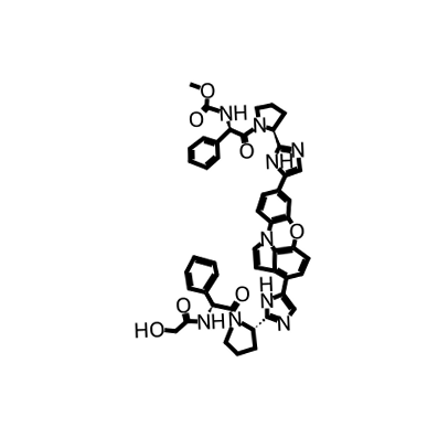 COC(=O)N[C@@H](C(=O)N1CCC[C@H]1c1ncc(-c2ccc3c(c2)Oc2ccc(-c4cnc([C@@H]5CCCN5C(=O)[C@H](NC(=O)CO)c5ccccc5)[nH]4)c4ccn-3c24)[nH]1)c1ccccc1